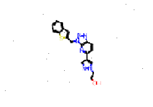 OCCn1cc(-c2ccc3nnn(Cc4cc5ccccc5s4)c3n2)cn1